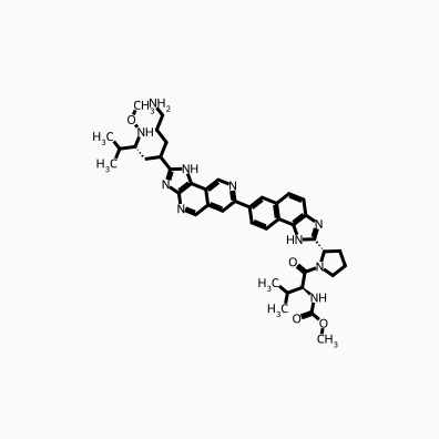 CON[C@H](CC(CCCN)c1nc2ncc3cc(-c4ccc5c(ccc6nc([C@@H]7CCCN7C(=O)[C@@H](NC(=O)OC)C(C)C)[nH]c65)c4)ncc3c2[nH]1)C(C)C